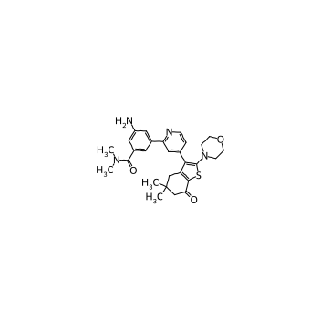 CN(C)C(=O)c1cc(N)cc(-c2cc(-c3c(N4CCOCC4)sc4c3CC(C)(C)CC4=O)ccn2)c1